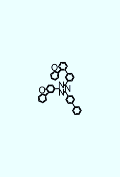 c1ccc(-c2ccc(-c3nc(-c4cccc(-c5cccc6oc7ccccc7c56)c4)nc(-c4ccc5oc6ccccc6c5c4)n3)cc2)cc1